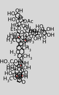 CCC(OC(O)C(O)C(OC1OCC(O)C(O)C1O)C(CC)OC(C)=O)/C(O)=C(\OC1OC(C)C(OC(O)/C(O)=C(/OC2OC(CO)C(O)C(O)C2O)C(C)O)C(O)C1O)C(O)OC(=O)[C@]12CCC(C)(C)CC1C1=CCC3[C@@]4(C)CC[C@H](OC5OC(C(=O)O)C(O)C(OC(O)C(O)C(O)C(C)O)C5OC5OC(CO)C(O)C(O)C5O)[C@@](C)(/C=N/NC(=O)CCCCCN5C(=O)C=CC5=O)C4CC[C@@]3(C)[C@]1(C)C[C@H]2O